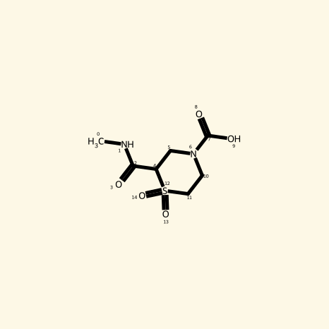 CNC(=O)C1CN(C(=O)O)CCS1(=O)=O